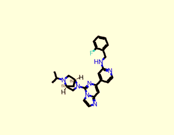 CC(C)N1C[C@@H]2C[C@H]1CN2c1nc(-c2ccnc(NCc3ccccc3F)c2)cc2nccn12